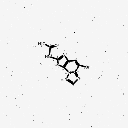 CC(=O)Nc1nc2cc(Br)c3ncnn3c2s1